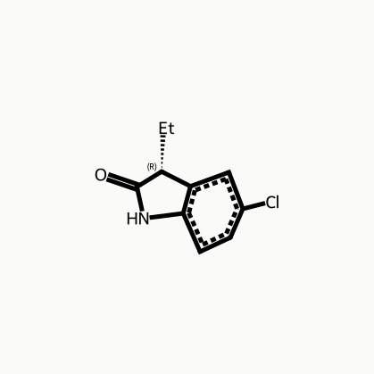 CC[C@H]1C(=O)Nc2ccc(Cl)cc21